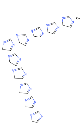 C1=NC=NC1.C1=NC=NC1.C1=NC=NC1.C1=NC=NC1.C1=NC=NC1.C1=NC=NC1.C1=NC=NC1.C1=NC=NC1.C1=NC=NC1.C1=NC=NC1.[Co]